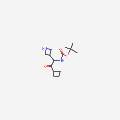 CC(C)(C)OC(=O)NC(C(=O)C1CCC1)C1CNC1